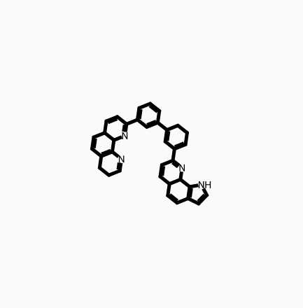 C1=CC2C=Cc3cc[nH]c3C2N=C1C1=CCCC(c2cccc(C3=NC4C5=C(C=CC4C=C3)CCC=N5)c2)=C1